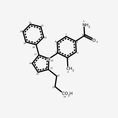 Cc1cc(C(N)=O)ccc1-n1c(CCC(=O)O)ccc1-c1ccccc1